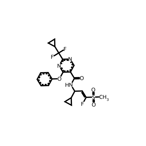 CS(=O)(=O)/C(F)=C/C(NC(=O)c1cnc(C(F)(F)C2CC2)nc1Oc1ccccc1)C1CC1